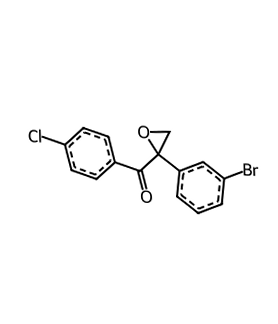 O=C(c1ccc(Cl)cc1)C1(c2cccc(Br)c2)CO1